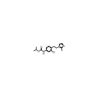 Cc1nccn1CCc1ccc(NC(=O)OC(C)C)cc1Cl